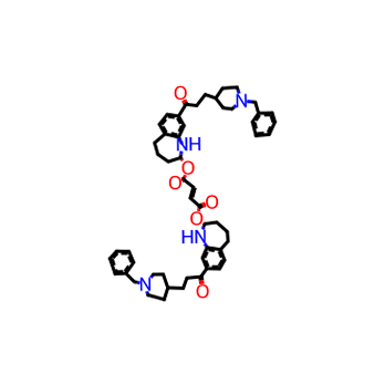 O=C(/C=C/C(=O)OC1CCCc2ccc(C(=O)CCC3CCN(Cc4ccccc4)CC3)cc2N1)OC1CCCc2ccc(C(=O)CCC3CCN(Cc4ccccc4)CC3)cc2N1